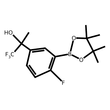 CC1(C)OB(c2cc(C(C)(O)C(F)(F)F)ccc2F)OC1(C)C